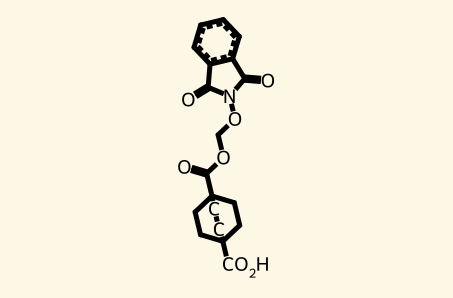 O=C1c2ccccc2C(=O)N1OCOC(=O)C12CCC(C(=O)O)(CC1)CC2